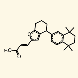 CC1(C)CCC(C)(C)c2cc(C3CCCc4oc(/C=C/C(=O)O)cc43)ccc21